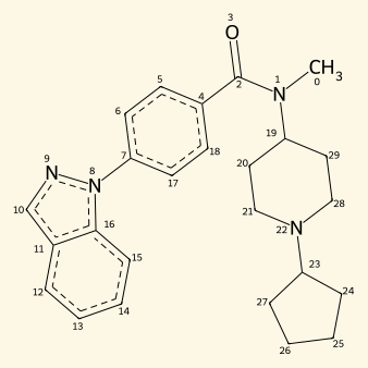 CN(C(=O)c1ccc(-n2ncc3ccccc32)cc1)C1CCN(C2CCCC2)CC1